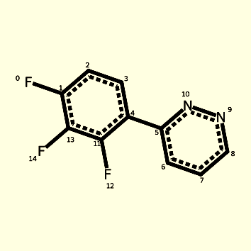 Fc1ccc(-c2cccnn2)c(F)c1F